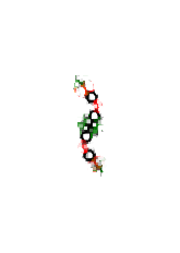 O=S(=O)(c1ccc(Oc2ccc(C(c3ccc(Oc4ccc(S(=O)(=O)C(F)(F)F)cc4)cc3)(C(F)(F)F)C(F)(F)F)cc2)cc1)C(F)(F)F